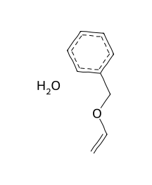 C=COCc1ccccc1.O